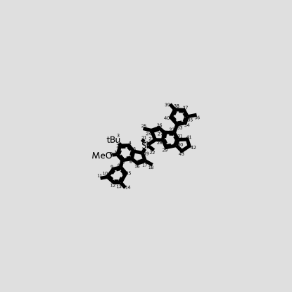 COc1c(C(C)(C)C)cc2c(c1-c1cc(C)cc(C)c1)C=C(C)C2[Si](C)(C)C1C(C)=Cc2c1cc1c(c2-c2cc(C)cc(C)c2)CCC1